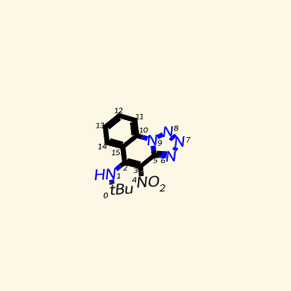 CC(C)(C)Nc1c([N+](=O)[O-])c2nnnn2c2ccccc12